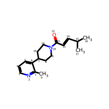 Cc1ncccc1C1CCN(C(=O)/C=C/C(C)C)CC1